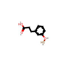 O=C(O)CCc1cccc(OS)c1